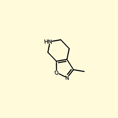 Cc1noc2c1CCNC2